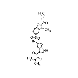 CCOC(=O)c1oc2ccc(S(=O)(=O)Nc3ccc4[nH]cc(C(=O)C(=O)N(C)C)c4c3)cc2c1C